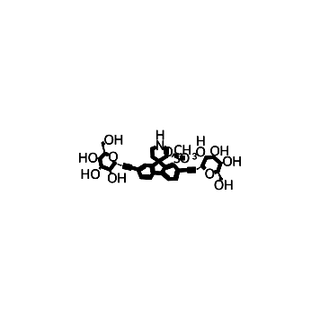 CS(=O)(=O)c1c(C#C[C@H]2O[C@H](CO)[C@@H](O)[C@H](O)[C@@H]2O)ccc2c1C1(CCNCC1)c1cc(C#C[C@H]3O[C@H](CO)[C@@H](O)[C@H](O)[C@@H]3O)ccc1-2